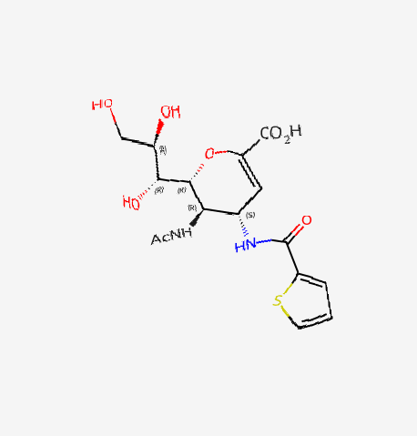 CC(=O)N[C@H]1[C@H]([C@H](O)[C@H](O)CO)OC(C(=O)O)=C[C@@H]1NC(=O)c1cccs1